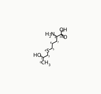 CC(O)CSCCCC(N)C(=O)O